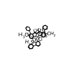 Cc1ccc2c(c1-c1ccccc1)C=C(C(C)C)[CH]2[Zr]([Cl])([Cl])([c]1cccc2c1[SiH2]c1ccccc1-2)[CH]1C(C(C)C)=Cc2c1ccc(C)c2-c1ccccc1